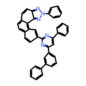 c1ccc(-c2cccc(-c3cc(-c4ccccc4)nc(-c4ccc5ccc6ccc7nn(-c8ccccc8)nc7c6c5c4)n3)c2)cc1